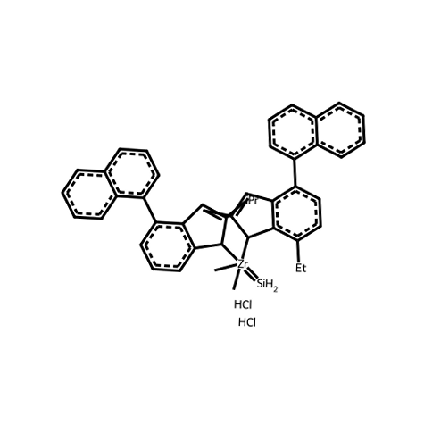 CCc1ccc(-c2cccc3ccccc23)c2c1[CH]([Zr]([CH3])([CH3])(=[SiH2])[CH]1C(C(C)C)=Cc3c(-c4cccc5ccccc45)cccc31)C(C)=C2.Cl.Cl